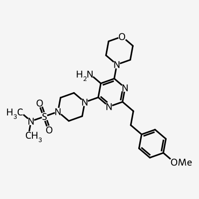 COc1ccc(CCc2nc(N3CCOCC3)c(N)c(N3CCN(S(=O)(=O)N(C)C)CC3)n2)cc1